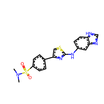 CN(C)S(=O)(=O)c1ccc(-c2csc(Nc3ccc4[nH]cnc4c3)n2)cc1